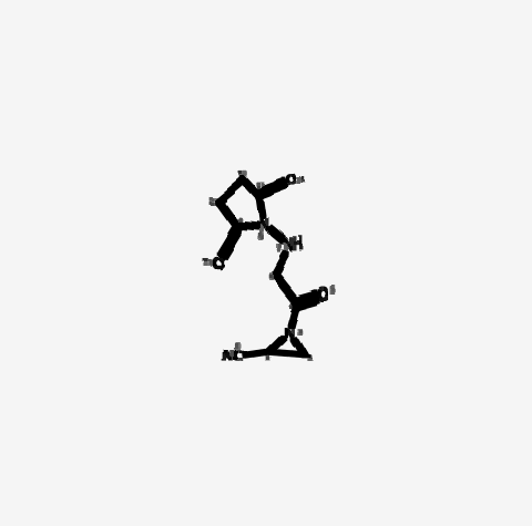 N#CC1CN1C(=O)CNN1C(=O)CCC1=O